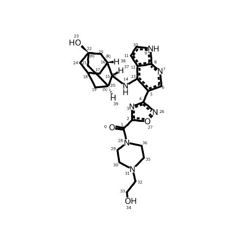 O=C(c1nc(-c2cnc3[nH]ccc3c2N[C@H]2[C@@H]3CC4C[C@H]2C[C@](O)(C4)C3)no1)N1CCN(CCO)CC1